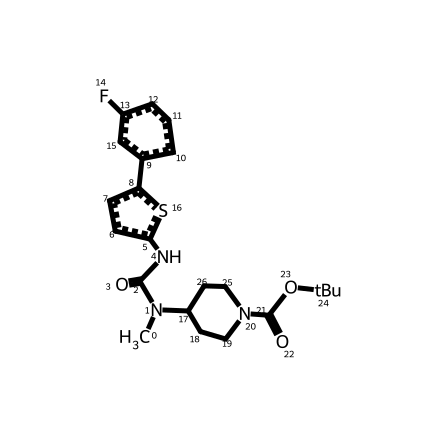 CN(C(=O)Nc1ccc(-c2cccc(F)c2)s1)C1CCN(C(=O)OC(C)(C)C)CC1